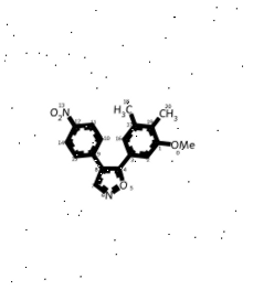 COc1cc(-c2oncc2-c2ccc([N+](=O)[O-])cc2)cc(C)c1C